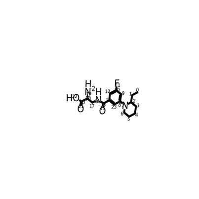 CCC1CCCCN1c1cc(F)cc(C(=O)NC[C@@H](N)C(=O)O)c1